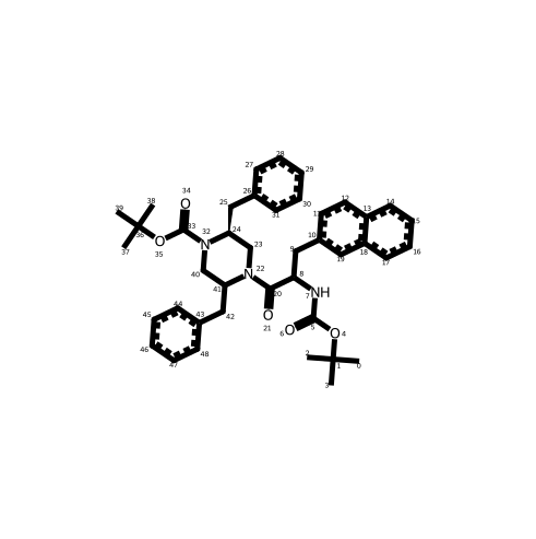 CC(C)(C)OC(=O)NC(Cc1ccc2ccccc2c1)C(=O)N1C[C@H](Cc2ccccc2)N(C(=O)OC(C)(C)C)CC1Cc1ccccc1